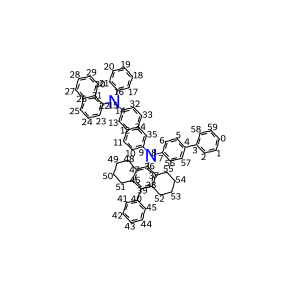 c1ccc(-c2ccc(N(c3ccc4cc(N(c5ccccc5)c5cccc6ccccc56)ccc4c3)c3c4c(c(-c5ccccc5)c5c3CCCC5)CCCC4)cc2)cc1